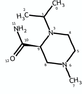 CC(C)N1CCN(C)C[C@H]1C(N)=O